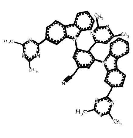 Cc1cc(-c2c(-n3c4ccccc4c4ccc(-c5nc(C)nc(C)n5)cc43)cc(C#N)cc2-n2c3ccccc3c3ccc(-c4nc(C)nc(C)n4)cc32)nc(C)n1